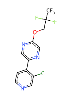 FC(F)(F)C(F)(F)COc1cnc(-c2ccncc2Cl)cn1